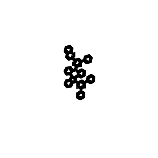 c1ccc(-c2cc(-n3c4c(c5ccccc53)-c3ccccc3N(c3nc(-c5ccccc5)cc(-c5ccc6ccccc6n5)n3)c3ccccc3-4)nc(-c3ccccc3)n2)cc1